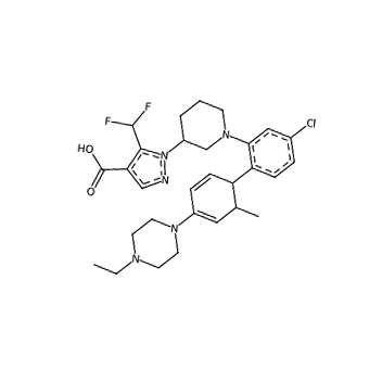 CCN1CCN(C2=CC(C)C(c3ccc(Cl)cc3N3CCCC(n4ncc(C(=O)O)c4C(F)F)C3)C=C2)CC1